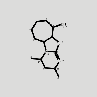 BC1CCCCC2C1SC1=NC(C)CC(C)N12